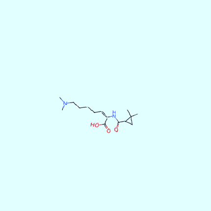 CN(C)CCCCC=C(NC(=O)C1CC1(C)C)C(=O)O